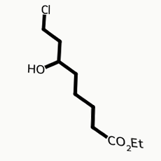 CCOC(=O)CCCCC(O)CCCl